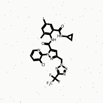 Cc1cc(I)cc(C(=O)NC2CC2)c1NC(=O)c1cc(Cn2nnc(C(F)(F)C(F)(F)F)n2)nn1-c1ncccc1Cl